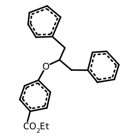 CCOC(=O)c1ccc(OC(Cc2ccccc2)Cc2ccccc2)cc1